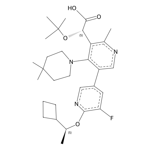 Cc1ncc(-c2cnc(O[C@@H](C)C3CCC3)c(F)c2)c(N2CCC(C)(C)CC2)c1[C@H](OC(C)(C)C)C(=O)O